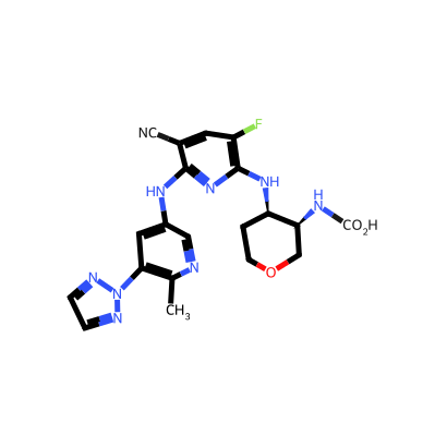 Cc1ncc(Nc2nc(N[C@@H]3CCOC[C@@H]3NC(=O)O)c(F)cc2C#N)cc1-n1nccn1